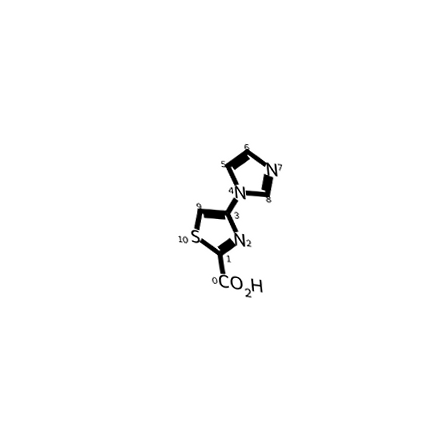 O=C(O)c1nc(-n2ccnc2)cs1